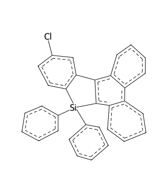 Clc1ccc2c(c1)-c1c(c3ccccc3c3ccccc13)[Si]2(c1ccccc1)c1ccccc1